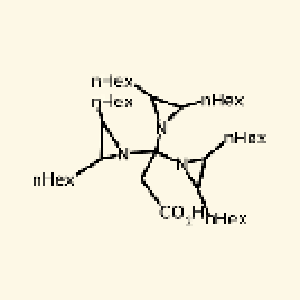 CCCCCCC1C(CCCCCC)N1C(CC(=O)O)(N1C(CCCCCC)C1CCCCCC)N1C(CCCCCC)C1CCCCCC